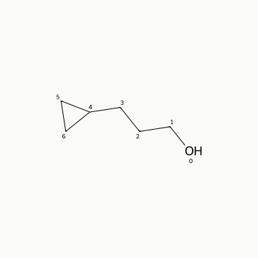 OCCCC1CC1